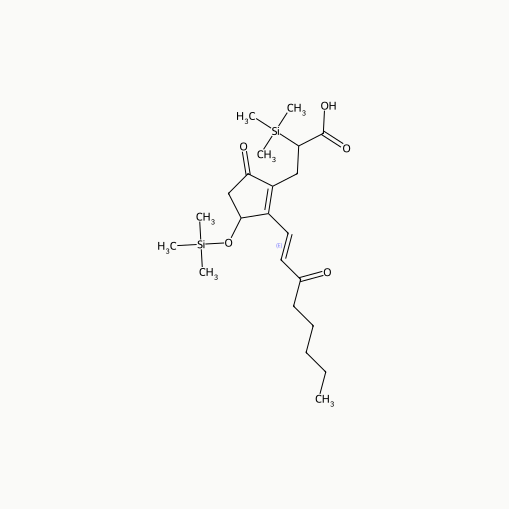 CCCCCC(=O)/C=C/C1=C(CC(C(=O)O)[Si](C)(C)C)C(=O)CC1O[Si](C)(C)C